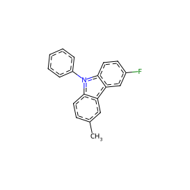 Cc1ccc2c(c1)c1cc(F)ccc1n2-c1ccccc1